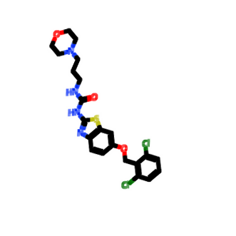 O=C(NCCCN1CCOCC1)Nc1nc2ccc(OCc3c(Cl)cccc3Cl)cc2s1